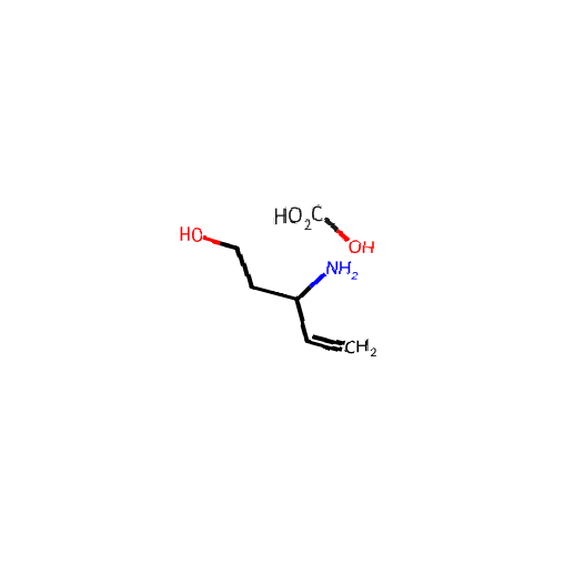 C=CC(N)CCO.O=C(O)O